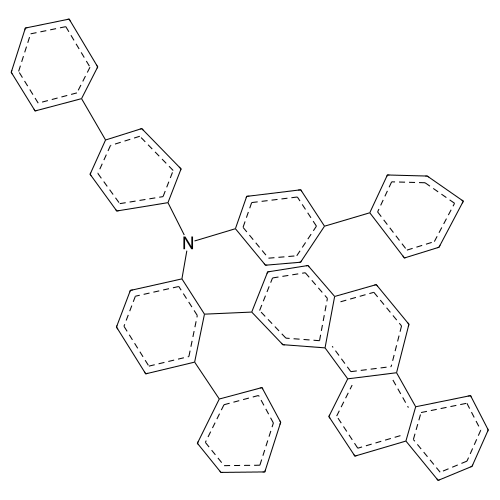 c1ccc(-c2ccc(N(c3ccc(-c4ccccc4)cc3)c3cccc(-c4ccccc4)c3-c3ccc4ccc5c6ccccc6ccc5c4c3)cc2)cc1